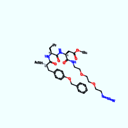 CC(=O)N[C@@H](Cc1ccc(OCc2ccccc2)cc1)C(=O)N[C@@H](CC(C)C)C(=O)N[C@@H](CC(=O)OC(C)(C)C)C(=O)NCCOCCOCCN=[N+]=[N-]